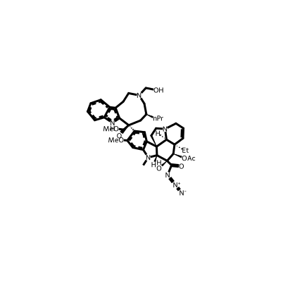 CCC[C@@H]1CN(CO)CCc2c([nH]c3ccccc23)[C@@](C(=O)OC)(c2cc3c(cc2OC)N(C)[C@H]2[C@@](O)(C(=O)N=[N+]=[N-])[C@H](OC(C)=O)[C@]4(CC)C=CCN5CC[C@]32[C@@H]54)C1